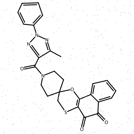 Cc1nn(-c2ccccc2)nc1C(=O)N1CCC2(CC1)CSC1=C(O2)c2ccccc2C(=O)C1=O